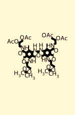 CC(=O)OCC(CNC(=O)c1c(I)c(NC(=O)Nc2c(I)c(NC(=O)C3COC(C)(C)O3)c(I)c(C(=O)NCC(COC(C)=O)OC(C)=O)c2I)c(I)c(NC(=O)C2COC(C)(C)O2)c1I)OC(C)=O